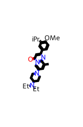 CCN(CC)C1CCN(c2cc(C)c3nc(-c4ccc(OC)c(C(C)C)c4)cc(=O)n3c2)CC1